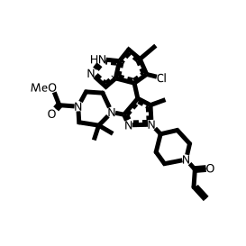 C=CC(=O)N1CCC(n2nc(N3CCN(C(=O)OC)CC3(C)C)c(-c3c(Cl)c(C)cc4[nH]ncc34)c2C)CC1